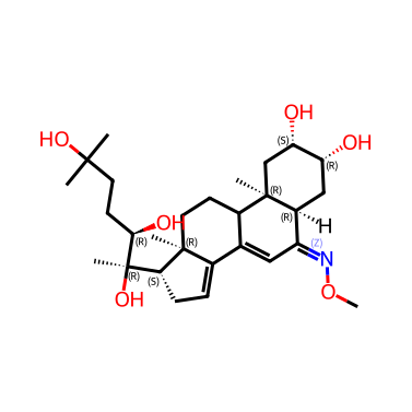 CO/N=C1\C=C2C3=CC[C@H]([C@@](C)(O)[C@H](O)CCC(C)(C)O)[C@@]3(C)CCC2[C@@]2(C)C[C@H](O)[C@H](O)C[C@@H]12